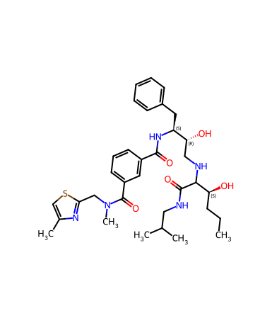 CCC[C@H](O)C(NC[C@@H](O)[C@H](Cc1ccccc1)NC(=O)c1cccc(C(=O)N(C)Cc2nc(C)cs2)c1)C(=O)NCC(C)C